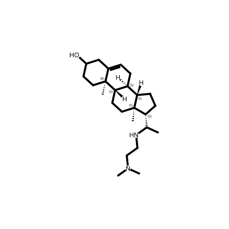 CC(NCCN(C)C)[C@H]1CC[C@H]2[C@@H]3CC=C4CC(O)CC[C@]4(C)[C@H]3CC[C@]12C